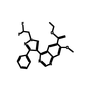 C=C(OCC)c1cc2c(-c3cn(CC(F)F)nc3-c3ccccc3)ncnc2cc1OC